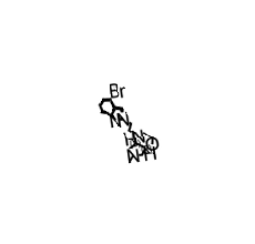 CN1C[C@H]2OCCN(CCn3cc4c(Br)cccc4n3)[C@H]2C1